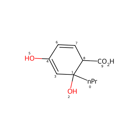 CCCC1(O)C=C(O)C=CC1C(=O)O